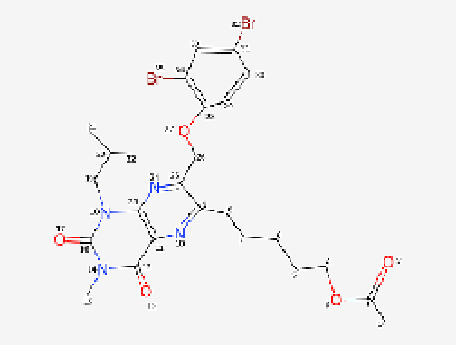 CC(=O)OCCCCCc1nc2c(=O)n(C)c(=O)n(CC(C)C)c2nc1COc1ccc(Br)cc1Br